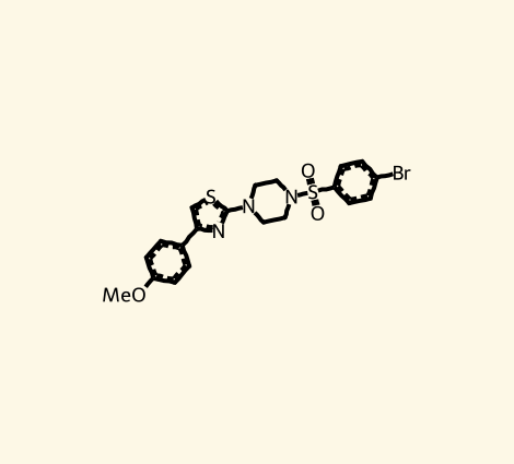 COc1ccc(-c2csc(N3CCN(S(=O)(=O)c4ccc(Br)cc4)CC3)n2)cc1